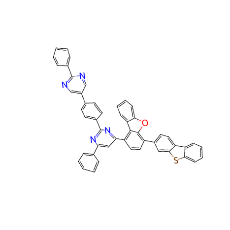 c1ccc(-c2cc(-c3ccc(-c4ccc5c(c4)sc4ccccc45)c4oc5ccccc5c34)nc(-c3ccc(-c4cnc(-c5ccccc5)nc4)cc3)n2)cc1